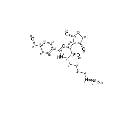 [N-]=[N+]=NCCCC[C@H](NC(=O)c1ccc(C=O)cc1)C(=O)ON1C(=O)CCC1=O